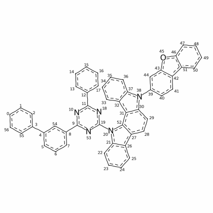 c1ccc(-c2cccc(-c3nc(-c4ccccc4)nc(-n4c5ccccc5c5ccc6c(c7ccccc7n6-c6ccc7c(c6)oc6ccccc67)c54)n3)c2)cc1